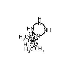 CC(C)(C)OP(=O)(CN1CCNCCNCCNCC1)OC(C)(C)C